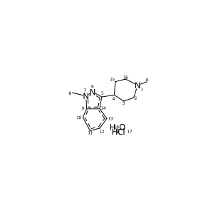 CN1CCC(c2nn(C)c3ccccc23)CC1.Cl.O